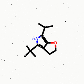 CC(C)c1[nH]c(C(C)(C)C)c2c1OCC2